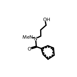 CNN(CCCO)C(=O)c1ccccc1